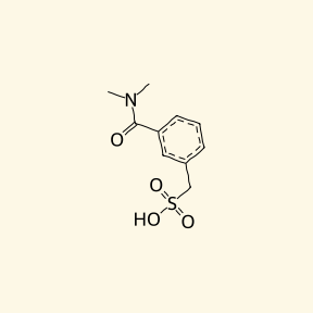 CN(C)C(=O)c1cccc(CS(=O)(=O)O)c1